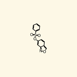 O=S(=O)(Oc1ccc2conc2c1)c1ccccc1